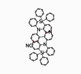 N#Cc1ccc(N2c3ccccc3[Si](c3ccccc3)(c3ccccc3)c3ccccc32)c(-c2cnccc2N2c3ccccc3[Si](c3ccccc3)(c3ccccc3)c3ccccc32)c1